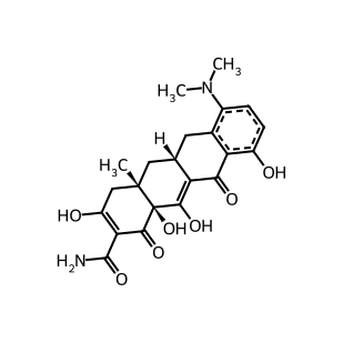 CN(C)c1ccc(O)c2c1C[C@H]1C[C@@]3(C)CC(O)=C(C(N)=O)C(=O)[C@@]3(O)C(O)=C1C2=O